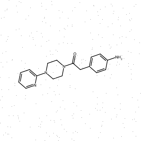 Nc1ccc(CC(=O)N2CCN(c3ccccn3)CC2)cc1